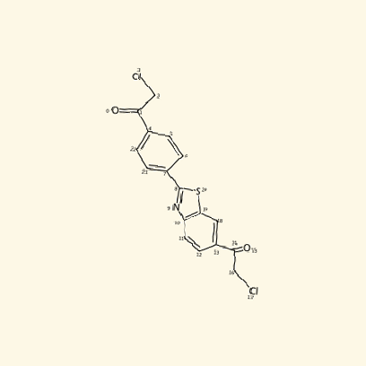 O=C(CCl)c1ccc(-c2nc3ccc(C(=O)CCl)cc3s2)cc1